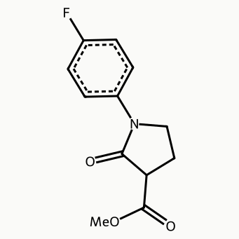 COC(=O)C1CCN(c2ccc(F)cc2)C1=O